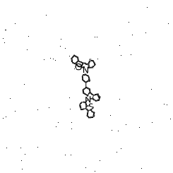 c1ccc2c(c1)oc1c2c2ccccc2n1-c1ccc(-c2ccc3c(c2)c2ccccc2n3-c2cccc3c2sc2ccccc23)cc1